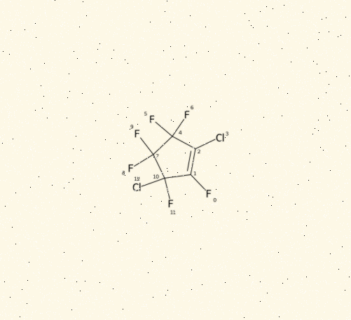 FC1=C(Cl)C(F)(F)C(F)(F)C1(F)Cl